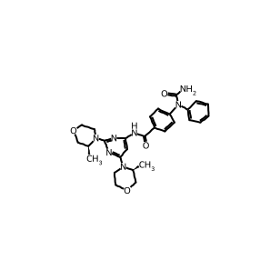 C[C@H]1COCCN1c1cc(NC(=O)c2ccc(N(C(N)=O)c3ccccc3)cc2)nc(N2CCOC[C@@H]2C)n1